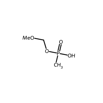 COCOP(C)(=O)O